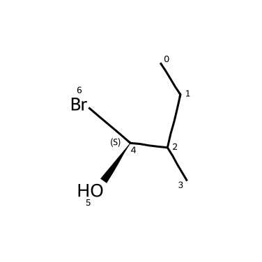 CCC(C)[C@@H](O)Br